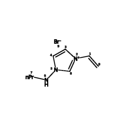 C=C[n+]1ccn(NCCC)c1.[Br-]